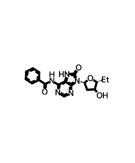 CC[C@H]1O[C@@H](n2c(=O)[nH]c3c(NC(=O)c4ccccc4)ncnc32)CC1O